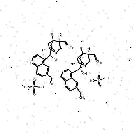 C=C[C@H]1CN2CC[C@H]1C[C@@H]2[C@@H](O)c1ccnc2ccc(OC)cc12.C=C[C@H]1CN2CC[C@H]1C[C@@H]2[C@@H](O)c1ccnc2ccc(OC)cc12.O=S(=O)(O)O.O=S(=O)(O)O